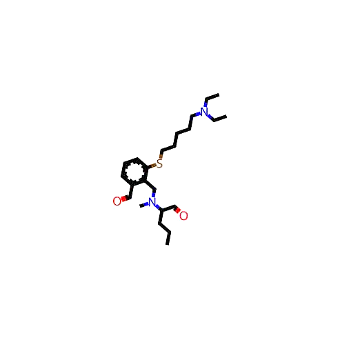 CCCC(C=O)N(C)Cc1c(C=O)cccc1SCCCCCN(CC)CC